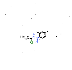 Cc1ccc(NNC(Cl)C(=O)O)c(C)c1